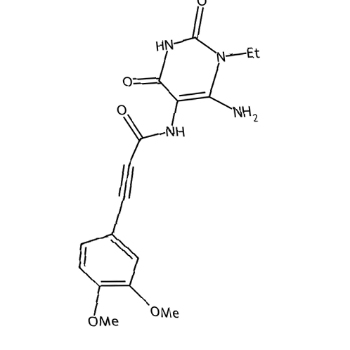 CCn1c(N)c(NC(=O)C#Cc2ccc(OC)c(OC)c2)c(=O)[nH]c1=O